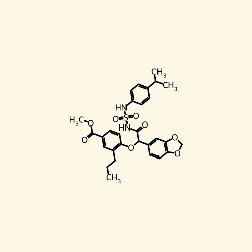 CCCc1cc(C(=O)OC)ccc1OC(C(=O)NS(=O)(=O)Nc1ccc(C(C)C)cc1)c1ccc2c(c1)OCO2